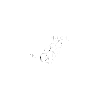 C[C@]1(O)CC[C@H]2[C@@H]3CC[C@@]45O[C@]4(C)C=C(C#N)C[C@]5(C)[C@H]3CC[C@@]21C